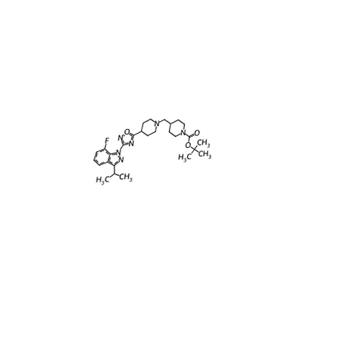 CC(C)c1nn(-c2noc(C3CCN(CC4CCN(C(=O)OC(C)(C)C)CC4)CC3)n2)c2c(F)cccc12